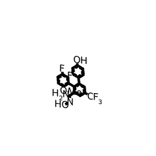 COc1ccc(F)cc1-c1c(/C(N)=N/O)cc(C(F)(F)F)cc1-c1ccc(O)cc1F